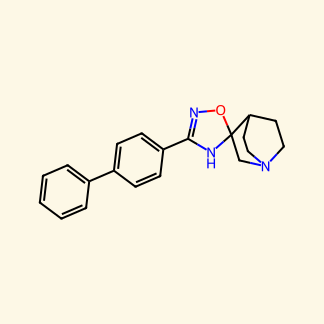 c1ccc(-c2ccc(C3=NOC4(CN5CCC4CC5)N3)cc2)cc1